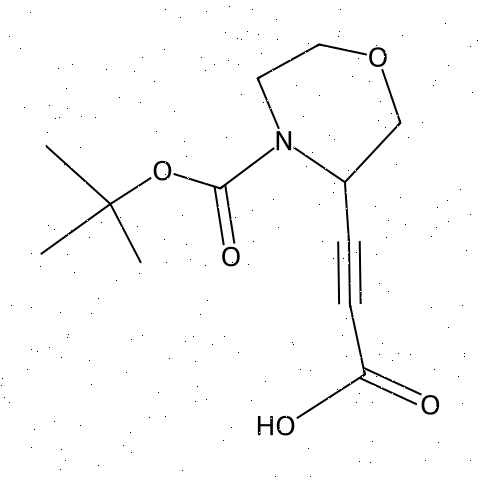 CC(C)(C)OC(=O)N1CCOCC1C#CC(=O)O